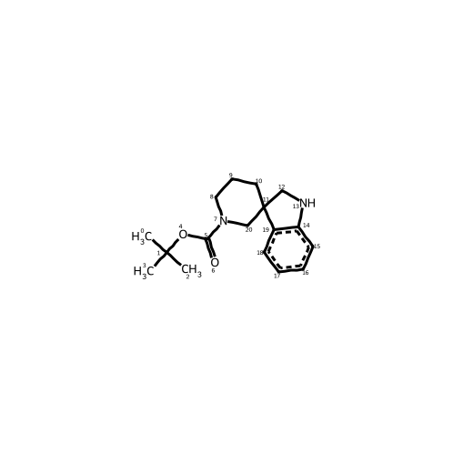 CC(C)(C)OC(=O)N1CCCC2(CNc3ccccc32)C1